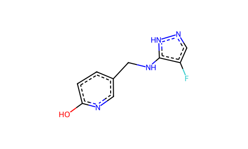 Oc1ccc(CNc2[nH]ncc2F)cn1